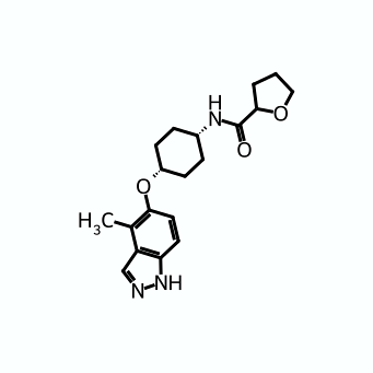 Cc1c(O[C@H]2CC[C@@H](NC(=O)C3CCCO3)CC2)ccc2[nH]ncc12